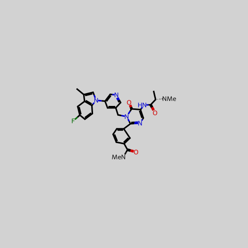 CNC(=O)c1cccc(-c2ncc(NC(=O)[C@H](C)NC)c(=O)n2Cc2cncc(-n3cc(C)c4cc(F)ccc43)c2)c1